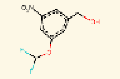 O=[N+]([O-])c1cc([CH]O)cc(OC(F)F)c1